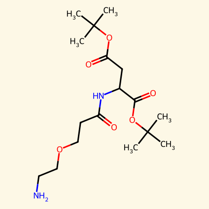 CC(C)(C)OC(=O)CC(NC(=O)CCOCCN)C(=O)OC(C)(C)C